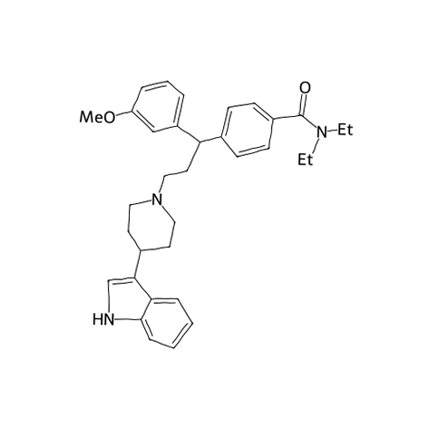 CCN(CC)C(=O)c1ccc(C(CCN2CCC(c3c[nH]c4ccccc34)CC2)c2cccc(OC)c2)cc1